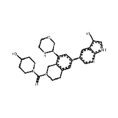 O=C(N1CCC(O)CC1)N1CCc2cc(-c3cnc4[nH]cc(Cl)c4c3)cc([C@@H]3COCCN3)c2C1